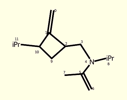 C=C1C(CN(C(=C)C)C(C)C)CC1C(C)C